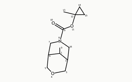 CC1C2COCC1CN(C(=O)OC1(C)CC1)C2